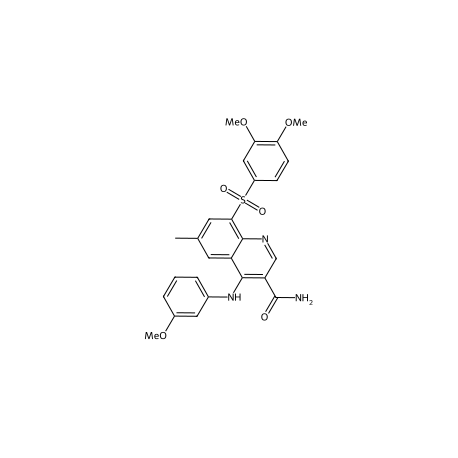 COc1cccc(Nc2c(C(N)=O)cnc3c(S(=O)(=O)c4ccc(OC)c(OC)c4)cc(C)cc23)c1